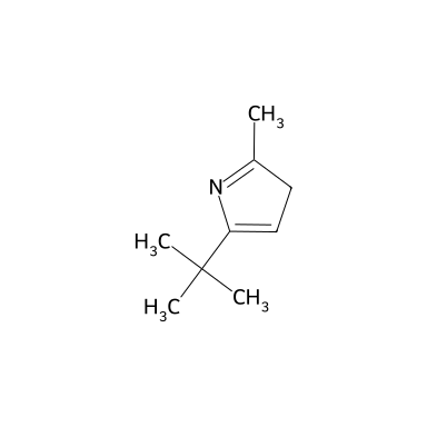 CC1=NC(C(C)(C)C)=CC1